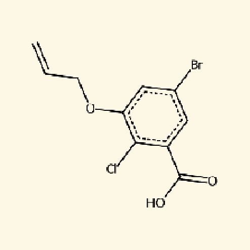 C=CCOc1cc(Br)cc(C(=O)O)c1Cl